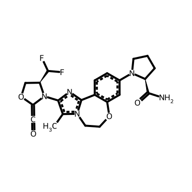 Cc1c(N2C(=C=O)OC[C@H]2C(F)F)nc2n1CCOc1cc(N3CCC[C@H]3C(N)=O)ccc1-2